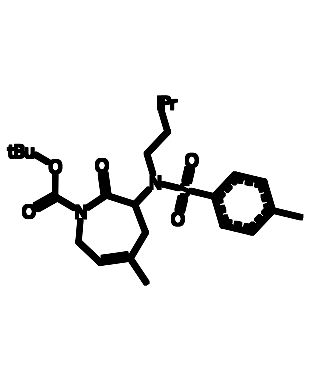 CC1=CCN(C(=O)OC(C)(C)C)C(=O)C(N(CCC(C)C)S(=O)(=O)c2ccc(C)cc2)C1